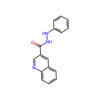 O=C(NNc1ccccc1)c1cnc2ccccc2c1